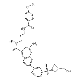 CCCN(CCCNC(=O)c1ccc(OCC)cc1)C(=O)C1=Cc2ccc(-c3cccc(S(=O)(=O)N4CC(CO)C4)c3)cc2N=C(N)C1